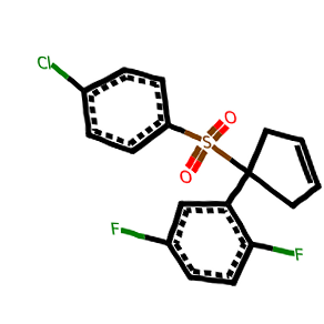 O=S(=O)(c1ccc(Cl)cc1)C1(c2cc(F)ccc2F)CC=CC1